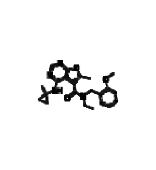 CCN(Cc1ccccc1OC)C(=O)c1c(C)oc2ncnc(NC3(C)CC3)c12